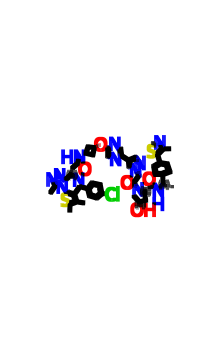 Cc1ncsc1-c1ccc([C@H](C)NC(=O)[C@@H]2C[C@@H](O)CN2C(=O)Cn2cc(-c3cnc(O[C@H]4C[C@H](NC(=O)C[C@@H]5N=C(c6ccc(Cl)cc6)c6c(sc(C)c6C)-n6c(C)nnc65)C4)cn3)cn2)cc1